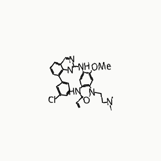 C=CC(=O)Nc1cc(Nc2ncc3cccc(-c4cccc(Cl)c4)c3n2)c(OC)cc1N(C)CCN(C)C